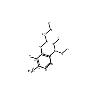 CCOCCc1c(N(CC)CC)ccc(N)c1C